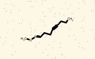 [CH2]CCC#CCCC=NOC